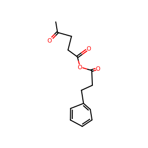 CC(=O)CCC(=O)OC(=O)CCc1ccccc1